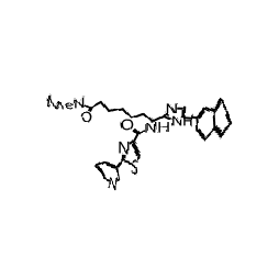 CNC(=O)CCCCCC(NC(=O)c1csc(-c2cccnc2)n1)c1ncc(-c2ccc3ccccc3c2)[nH]1